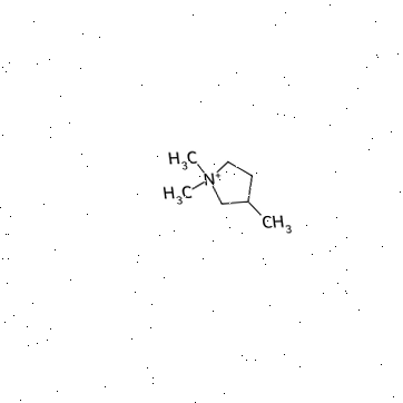 CC1CC[N+](C)(C)C1